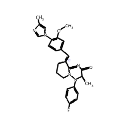 COc1cc(/C=C2\CCCN3C2=NC(=O)C(C)N3c2ccc(F)cc2)ccc1-n1cnc(C)c1